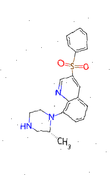 C[C@@H]1CNCCN1c1cccc2cc(S(=O)(=O)c3ccccc3)cnc12